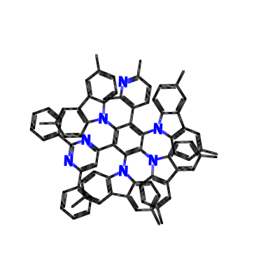 Cc1ccc2c(c1)c1cc(C)ccc1n2-c1c(-c2cc(-c3ccccc3)nc(-c3ccccc3)n2)c(-n2c3ccc(C)cc3c3cc(C)ccc32)c(-n2c3ccc(C)cc3c3cc(C)ccc32)c(-n2c3ccc(C)cc3c3cc(C)ccc32)c1-c1ccc(C)nc1C